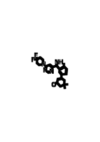 Cc1ccc(C2=CC(=O)CC(C)(C)C2)cc1C(=N)c1cc(N2CCC(F)(F)CC2)ncn1